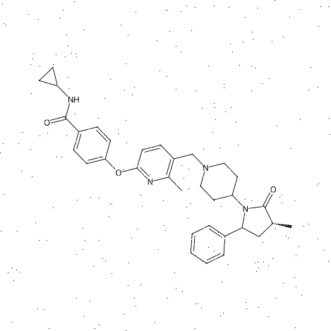 Cc1nc(Oc2ccc(C(=O)NC3CC3)cc2)ccc1CN1CCC(N2C(=O)[C@@H](C)CC2c2ccccc2)CC1